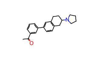 CC(=O)c1cccc(-c2ccc3c(c2)CCC(N2CCCC2)C3)c1